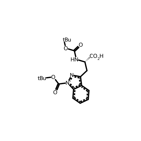 CC(C)(C)OC(=O)N[C@@H](Cc1nn(C(=O)OC(C)(C)C)c2ccccc12)C(=O)O